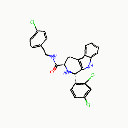 O=C(NCc1ccc(Cl)cc1)[C@H]1Cc2c([nH]c3ccccc23)[C@H](c2ccc(Cl)cc2Cl)N1